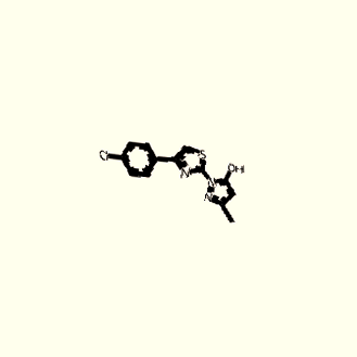 Cc1cc(O)n(-c2nc(-c3ccc(Cl)cc3)cs2)n1